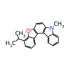 CC(C)c1cccc2c1oc1ccc3c(c4ccccc4n3C)c12